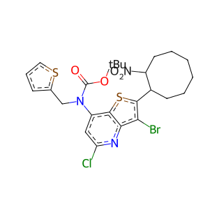 CC(C)(C)OC(=O)N(Cc1cccs1)c1cc(Cl)nc2c(Br)c(C3CCCCCCC3[N+](=O)[O-])sc12